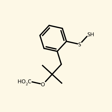 CC(C)(Cc1ccccc1SS)OC(=O)O